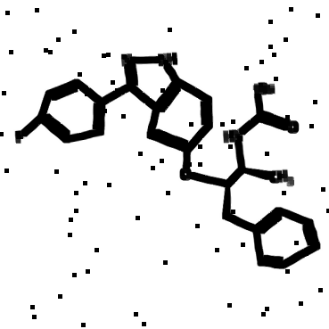 C[C@H](NC(=O)C(C)(C)C)[C@@H](Cc1ccccc1)Oc1ccc2[nH]nc(-c3ccc(F)cc3)c2c1